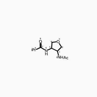 CC(=O)NC1COCC1NC(=O)C(C)C